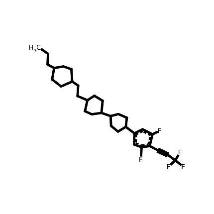 CCCC1CCC(CCC2CCC(C3CCC(c4cc(F)c(C#CC(F)(F)F)c(F)c4)CC3)CC2)CC1